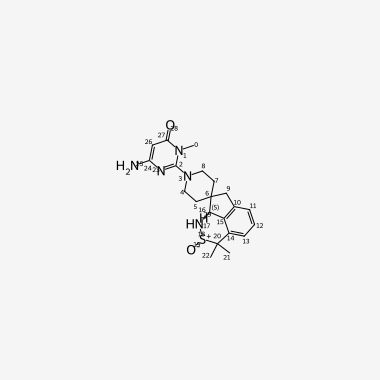 Cn1c(N2CCC3(CC2)Cc2cccc4c2[C@H]3N[S+]([O-])C4(C)C)nc(N)cc1=O